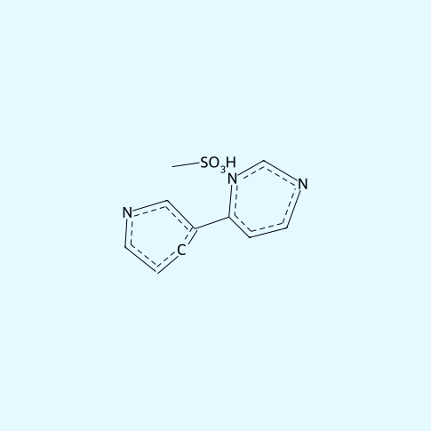 CS(=O)(=O)O.c1cncc(-c2ccncn2)c1